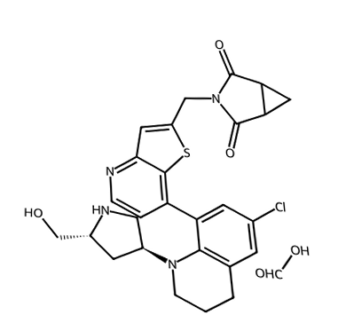 O=C1C2CC2C(=O)N1Cc1cc2nccc(-c3cc(Cl)cc4c3N([C@@H]3CN[C@@H](CO)C3)CCC4)c2s1.O=CO